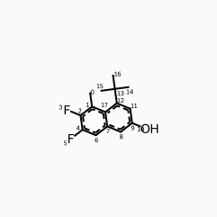 Cc1c(F)c(F)cc2cc(O)cc(C(C)(C)C)c12